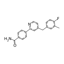 Cc1cc(Cc2ccnc(-c3ccc(C(N)=O)cc3)c2)ccc1F